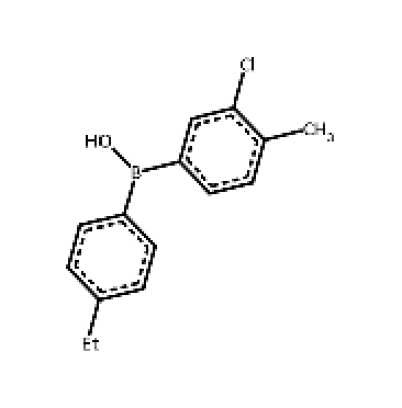 CCc1ccc(B(O)c2ccc(C)c(Cl)c2)cc1